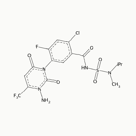 CC(C)N(C)S(=O)(=O)NC(=O)c1cc(-n2c(=O)cc(C(F)(F)F)n(N)c2=O)c(F)cc1Cl